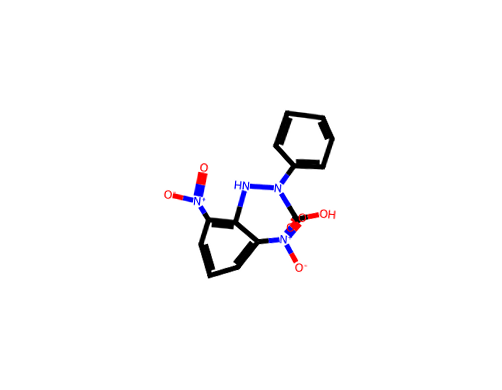 O=C(O)N(Nc1c([N+](=O)[O-])cccc1[N+](=O)[O-])c1ccccc1